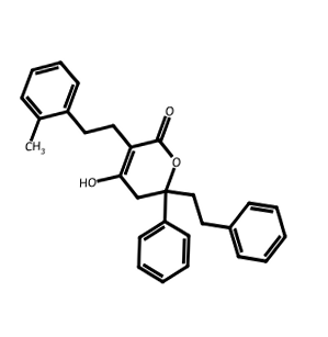 Cc1ccccc1CCC1=C(O)CC(CCc2ccccc2)(c2ccccc2)OC1=O